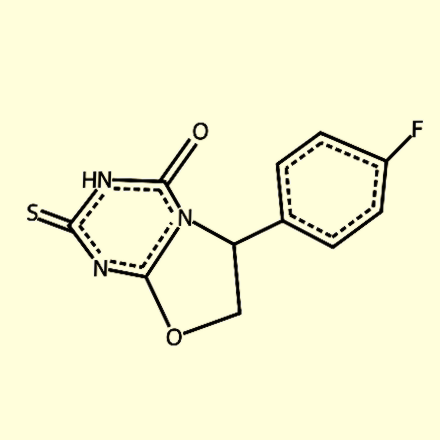 O=c1[nH]c(=S)nc2n1C(c1ccc(F)cc1)CO2